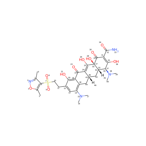 Cc1noc(C)c1S(=O)(=O)CCc1cc(N(C)C)c2c(c1O)C(=O)C1=C(O)[C@]3(O)C(=O)C(C(N)=O)=C(O)[C@@H](N(C)C)[C@@H]3C[C@@H]1C2